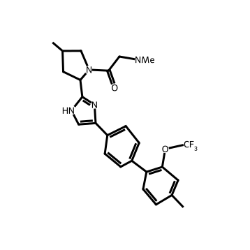 CNCC(=O)N1CC(C)CC1c1nc(-c2ccc(-c3ccc(C)cc3OC(F)(F)F)cc2)c[nH]1